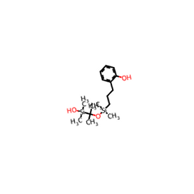 CC(C)(O[Si](C)(C)CCCc1ccccc1O)[Si](C)(C)O